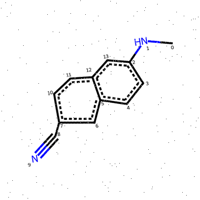 CNc1ccc2cc(C#N)ccc2c1